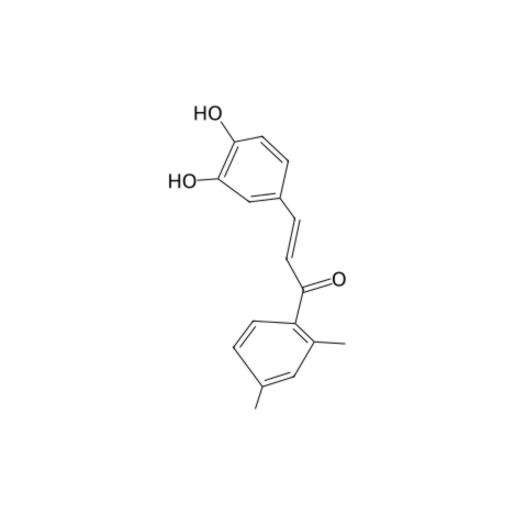 Cc1ccc(C(=O)C=Cc2ccc(O)c(O)c2)c(C)c1